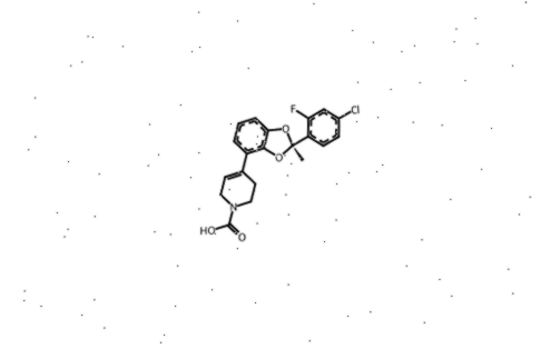 C[C@]1(c2ccc(Cl)cc2F)Oc2cccc(C3=CCN(C(=O)O)CC3)c2O1